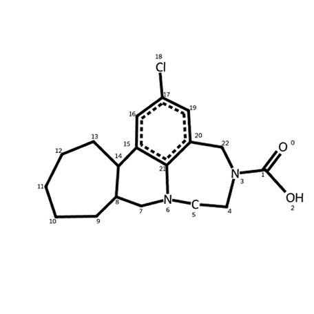 O=C(O)N1CCN2CC3CCCCCC3c3cc(Cl)cc(c32)C1